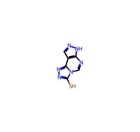 Sc1nnc2c3cn[nH]c3ncn12